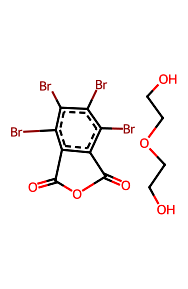 O=C1OC(=O)c2c(Br)c(Br)c(Br)c(Br)c21.OCCOCCO